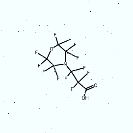 O=C(O)C(F)(F)C(F)(F)N1C(F)(F)C(F)(F)OC(F)(F)C1(F)F